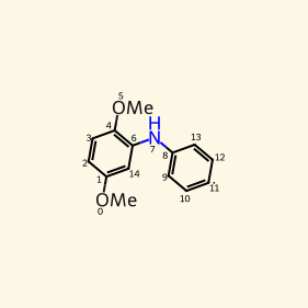 COc1ccc(OC)c(Nc2cc[c]cc2)c1